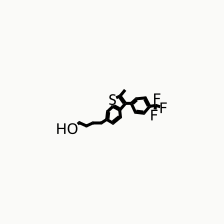 Cc1sc2cc(CCCCO)ccc2c1-c1ccc(C(F)(F)F)cc1